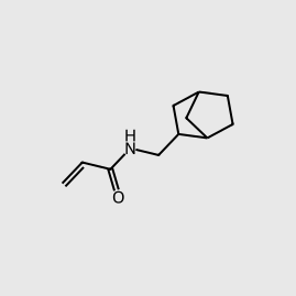 C=CC(=O)NCC1CC2CCC1C2